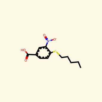 CCCCCSc1ccc(C(=O)O)cc1[N+](=O)[O-]